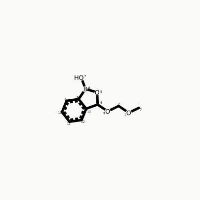 COCOC1OB(O)c2ccccc21